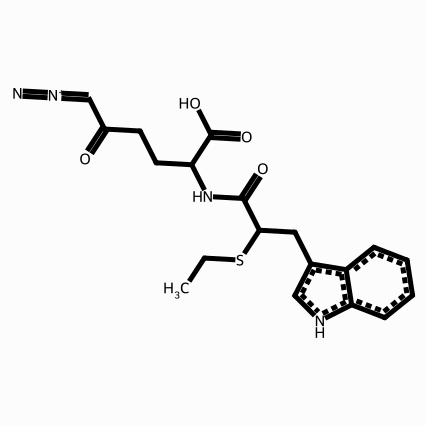 CCSC(Cc1c[nH]c2ccccc12)C(=O)NC(CCC(=O)C=[N+]=[N-])C(=O)O